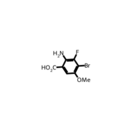 COc1cc(C(=O)O)c(N)c(F)c1Br